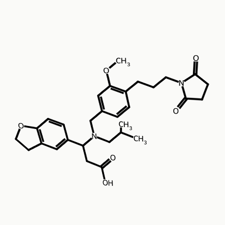 COc1cc(CN(CC(C)C)C(CC(=O)O)c2ccc3c(c2)CCO3)ccc1CCCN1C(=O)CCC1=O